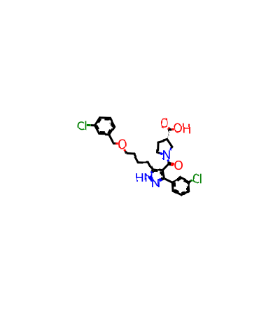 O=C(O)[C@H]1CCN(C(=O)c2c(-c3cccc(Cl)c3)n[nH]c2CCCCOCc2cccc(Cl)c2)C1